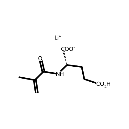 C=C(C)C(=O)N[C@@H](CCC(=O)O)C(=O)[O-].[Li+]